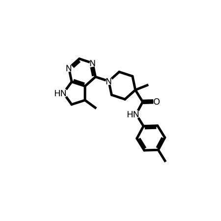 Cc1ccc(NC(=O)C2(C)CCN(c3ncnc4c3C(C)CN4)CC2)cc1